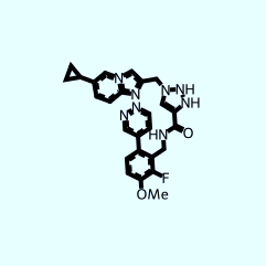 COc1ccc(-c2ccnnc2)c(CNC(=O)C2=CN(Cc3cn4cc(C5CC5)ccc4n3)NN2)c1F